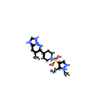 Cc1cc2ncnn2nc1C1=CCN(S(=O)(=O)c2cnn(C)c2C)CC1